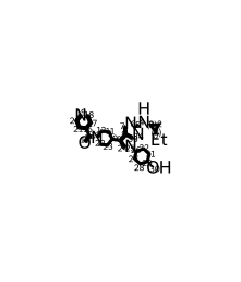 CC[C@@H]1C[C@H]1Nc1ncc2c(C3CCN(C(=O)c4ccncc4)CC3)cn([C@H]3CC[C@H](O)CC3)c2n1